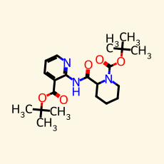 CC(C)(C)OC(=O)c1cccnc1NC(=O)C1CCCCN1C(=O)OC(C)(C)C